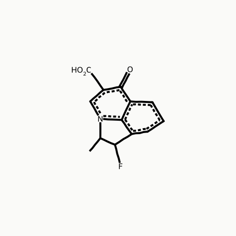 CC1C(F)c2cccc3c(=O)c(C(=O)O)cn1c23